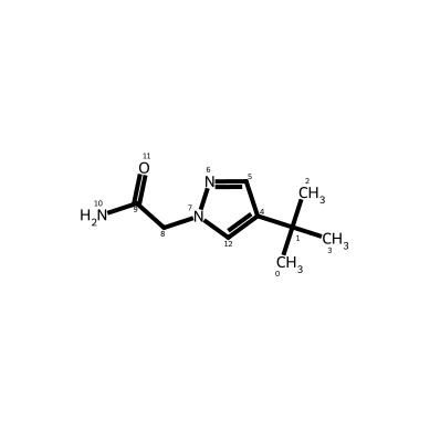 CC(C)(C)c1cnn(CC(N)=O)c1